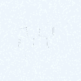 CCCCCCc1cc(O)c2c(c1)OC(C)(C)c1ccc(C)cc1-2